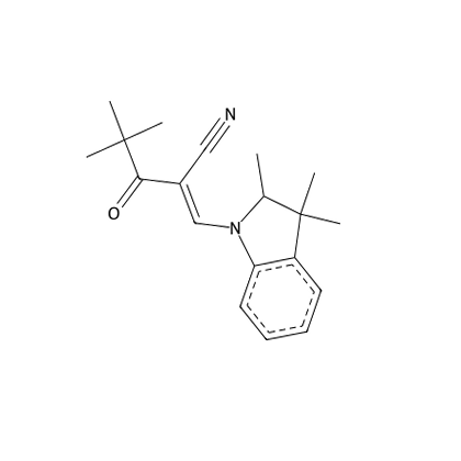 CC1N(C=C(C#N)C(=O)C(C)(C)C)c2ccccc2C1(C)C